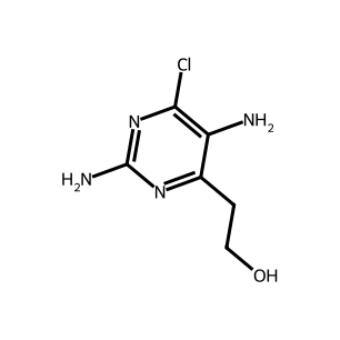 Nc1nc(Cl)c(N)c(CCO)n1